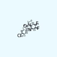 CCn1c(=O)c(-c2ccc(Cl)cc2)nc2cc(F)c(F)cc21